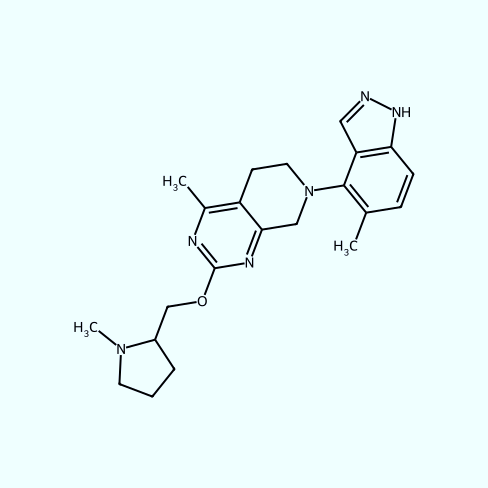 Cc1ccc2[nH]ncc2c1N1CCc2c(C)nc(OCC3CCCN3C)nc2C1